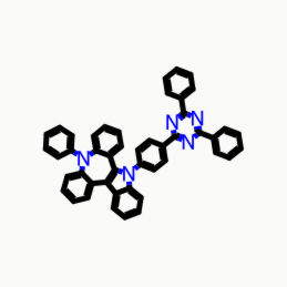 c1ccc(-c2nc(-c3ccccc3)nc(-c3ccc(-n4c5c(c6ccccc64)-c4ccccc4N(c4ccccc4)c4ccccc4-5)cc3)n2)cc1